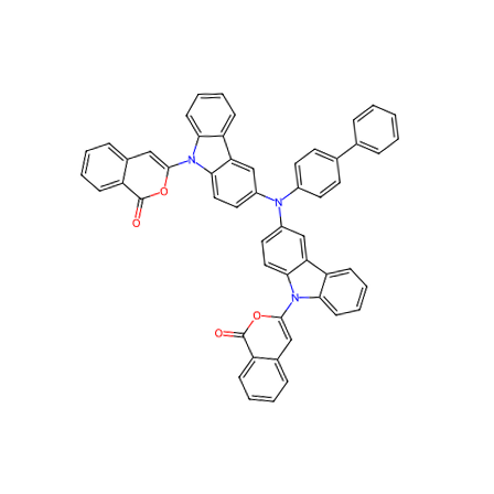 O=c1oc(-n2c3ccccc3c3cc(N(c4ccc(-c5ccccc5)cc4)c4ccc5c(c4)c4ccccc4n5-c4cc5ccccc5c(=O)o4)ccc32)cc2ccccc12